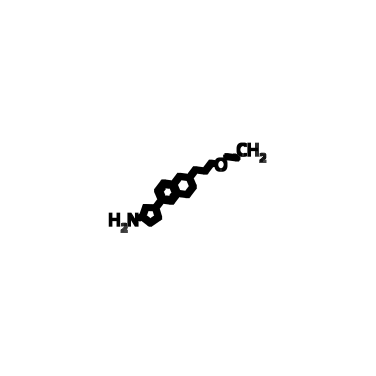 C=CCOCCCC1CCc2cc(C3CCC(N)C3)ccc2C1